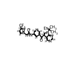 CCC(C)(C)n1cc(C(=O)c2cncc(NC(=O)Cn3ccc(C(F)(F)F)n3)c2)c2cncnc21